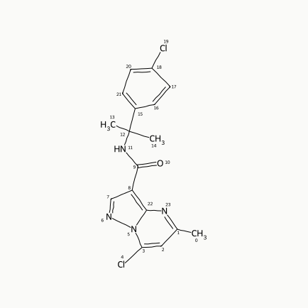 Cc1cc(Cl)n2ncc(C(=O)NC(C)(C)c3ccc(Cl)cc3)c2n1